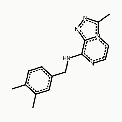 Cc1ccc(CNc2nccn3c(C)nnc23)cc1C